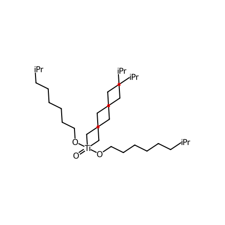 CC(C)CCCCCC[O][Ti](=[O])([CH2]CCCCCC(C)C)([CH2]CCCCCC(C)C)[O]CCCCCCC(C)C